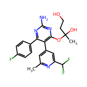 Cc1cc(-c2c(OC(C)(O)CCO)nc(N)nc2-c2ccc(F)cc2)cc(C(F)F)n1